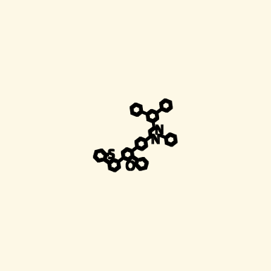 c1ccc(-c2cc(-c3ccccc3)cc(-c3cc(-c4ccc(-c5ccc(-c6cccc7c6sc6ccccc67)c6oc7ccccc7c56)cc4)nc(-c4ccccc4)n3)c2)cc1